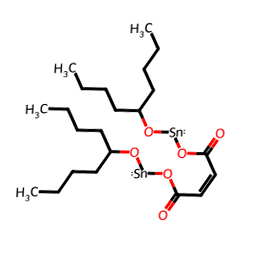 CCCCC(CCCC)[O][Sn][O]C(=O)/C=C\C(=O)[O][Sn][O]C(CCCC)CCCC